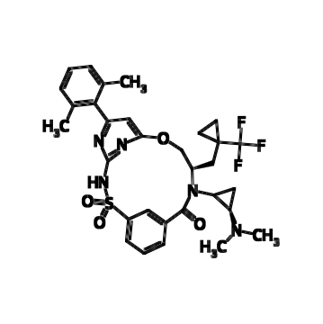 Cc1cccc(C)c1-c1cc2nc(n1)NS(=O)(=O)c1cccc(c1)C(=O)N(C1C[C@H]1N(C)C)[C@H](CC1(C(F)(F)F)CC1)CO2